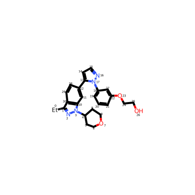 CCc1nn(C2CCOCC2)c2cc(-c3ccnn3-c3cccc(OCCO)c3)ccc12